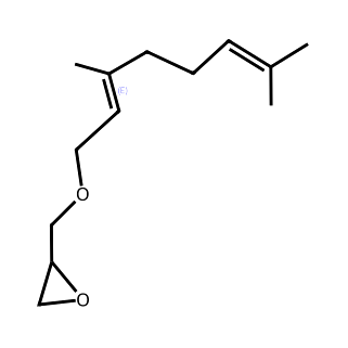 CC(C)=CCC/C(C)=C/COCC1CO1